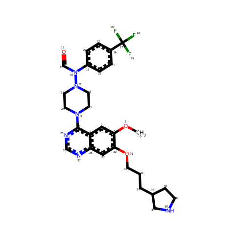 COc1cc2c(N3CCN(N(C=O)c4ccc(C(F)(F)F)cc4)CC3)ncnc2cc1OCCCC1CCNC1